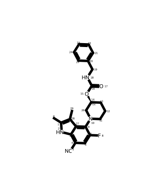 Cc1[nH]c2c(C#N)cc(F)c(N3CCC[C@H](OC(=O)NCc4ccccc4)C3)c2c1C